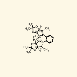 C[C@H]1[C@H]2OC(C)(C)O[C@@H]2[C@H](C)P1c1ccccc1P1[C@@H](C)[C@H]2OC(C)(C)O[C@@H]2[C@@H]1C